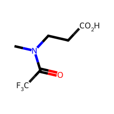 CN(CCC(=O)O)C(=O)C(F)(F)F